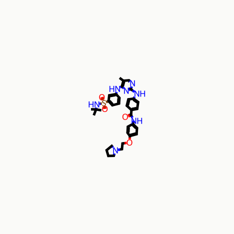 Cc1cnc(Nc2ccc(C(=O)Nc3ccc(OCCN4CCCC4)cc3)cc2)nc1Nc1cccc(S(=O)(=O)NC(C)(C)C)c1